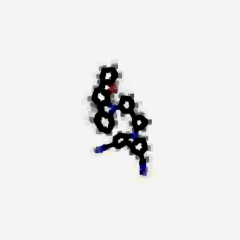 N#Cc1ccc2c(c1)c1cc(C#N)ccc1n2-c1cccc(-c2cccc(-n3c4ccccc4c4ccc5c6ccccc6oc5c43)c2)c1